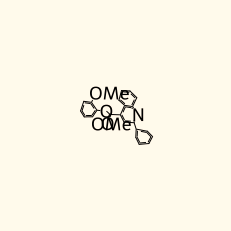 COc1cccc(OC)c1OC(=O)c1cc(-c2ccccc2)nc2ccccc12